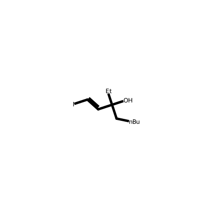 CCCCCC(O)(/C=C/I)CC